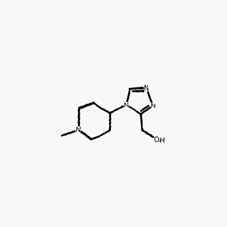 CN1CCC(n2cnnc2CO)CC1